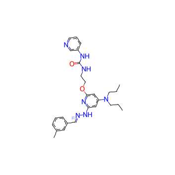 CCCN(CCC)c1cc(N/N=C/c2cccc(C)c2)nc(OCCNC(=O)Nc2cccnc2)c1